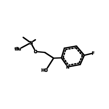 CC(C)(C)[Si](C)(C)OCC(O)c1ccc(F)cn1